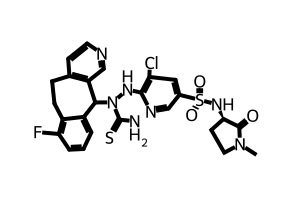 CN1CC[C@@H](NS(=O)(=O)c2cnc(NN(C(N)=S)C3c4cnccc4CCc4c(F)cccc43)c(Cl)c2)C1=O